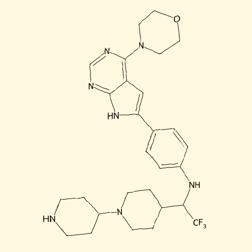 FC(F)(F)C(Nc1ccc(-c2cc3c(N4CCOCC4)ncnc3[nH]2)cc1)C1CCN(C2CCNCC2)CC1